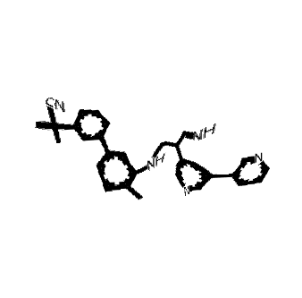 Cc1ccc(-c2cccc(C(C)(C)C#N)c2)cc1NCC(C=N)c1cncc(-c2cccnc2)c1